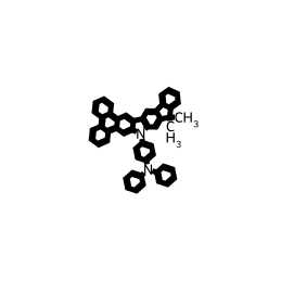 CC1(C)c2ccccc2-c2cc3c4cc5c6ccccc6c6ccccc6c5cc4n(-c4ccc(N(c5ccccc5)c5ccccc5)cc4)c3cc21